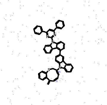 C=C1/C=C\C=C(\n2c3ccccc3c3cc(-c4cccc5c4c4ccccc4n5-c4nc(-c5ccccc5)cc(-c5ccccc5)n4)ccc32)CSc2ccccc21